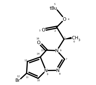 C[C@H](C(=O)OC(C)(C)C)n1cnn2cc(Br)cc2c1=O